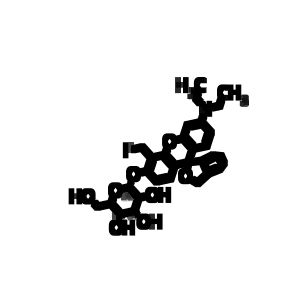 CCN(CC)c1ccc2c(c1)Oc1c(ccc(O[C@@H]3OC(CO)[C@H](O)[C@@H](O)C3O)c1CF)C21OCc2ccccc21